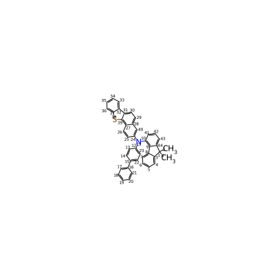 CC1(C)c2ccccc2-c2c(N(c3ccc(-c4ccccc4)cc3)c3ccc4c(ccc5c6ccccc6sc45)c3)cccc21